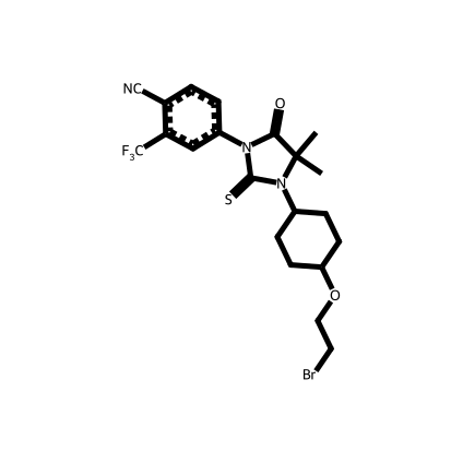 CC1(C)C(=O)N(c2ccc(C#N)c(C(F)(F)F)c2)C(=S)N1C1CCC(OCCBr)CC1